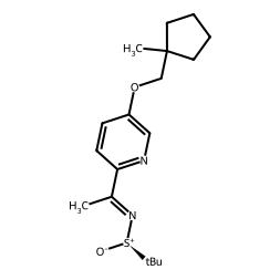 CC(=N[S@+]([O-])C(C)(C)C)c1ccc(OCC2(C)CCCC2)cn1